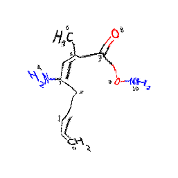 C=CCC(N)=C(C)C(=O)ON